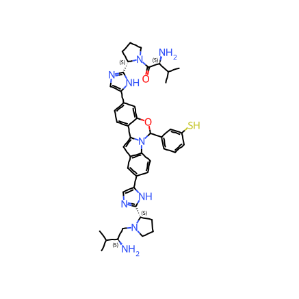 CC(C)[C@H](N)CN1CCC[C@H]1c1ncc(-c2ccc3c(c2)cc2n3C(c3cccc(S)c3)Oc3cc(-c4cnc([C@@H]5CCCN5C(=O)[C@@H](N)C(C)C)[nH]4)ccc3-2)[nH]1